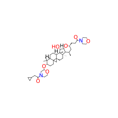 C[C@@H]1C[C@H](CCC(=O)N2CCOCC2)O[C@H]2C1[C@@]1(C)CC[C@@]34CC35CCC(OC3CN(C(=O)CC6CC6)CCO3)C(C)(C)[C@@H]5CC[C@H]4[C@]1(C)[C@H]2O